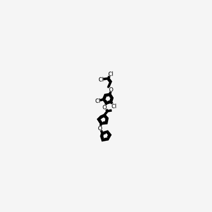 CC(Oc1c(Cl)cc(OCC=C(Cl)Cl)cc1Cl)c1ccc(Oc2ccccc2)cc1